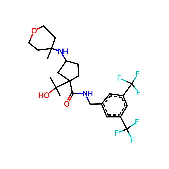 CC1(NC2CCC(C(=O)NCc3cc(C(F)(F)F)cc(C(F)(F)F)c3)(C(C)(C)O)C2)CCOCC1